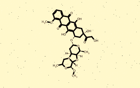 COc1cccc2c1C(=O)c1c(O)c3c(c(O)c1C2=O)C[C@@](O)(C(=O)CO)C[C@@H]3O[C@H]1C[C@H]2[C@H](O[C@@H]3[C@@H](OC)OC(C)CN32)[C@H](C)O1